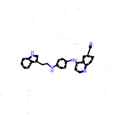 N#Cc1ccc2nccc(Nc3ccc(NCCc4c[nH]c5ccccc45)cc3)c2c1